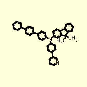 CC1(C)c2ccccc2-c2ccc(N(c3ccc(-c4ccc(-c5ccccc5)cc4)cc3)c3ccc(-c4cccnc4)cc3)cc21